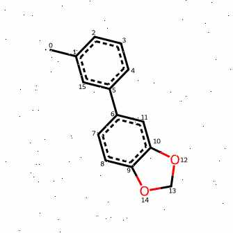 [CH2]c1cccc(-c2ccc3c(c2)OCO3)c1